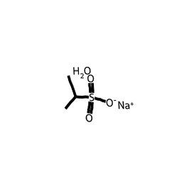 CC(C)S(=O)(=O)[O-].O.[Na+]